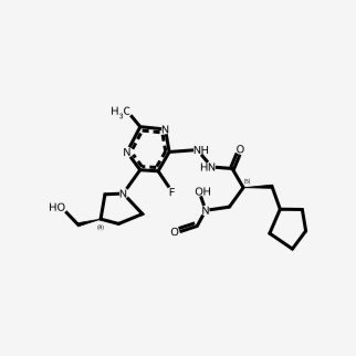 Cc1nc(NNC(=O)[C@@H](CC2CCCC2)CN(O)C=O)c(F)c(N2CC[C@@H](CO)C2)n1